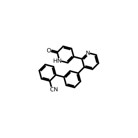 N#Cc1ccccc1-c1cccc(-c2cccnc2-c2ccc(=O)[nH]c2)c1